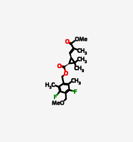 COCc1c(F)c(C)c(COC(=O)[C@@H]2[C@@H](/C=C(\C)C(=O)OC)C2(C)C)c(C)c1F